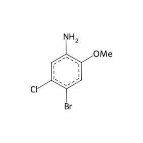 COc1cc(Br)c(Cl)cc1N